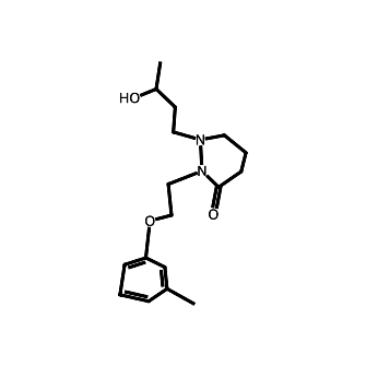 Cc1cccc(OCCN2C(=O)CCCN2CCC(C)O)c1